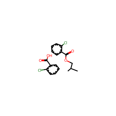 CC(C)COC(=O)c1ccccc1Cl.O=C(O)c1ccccc1Cl